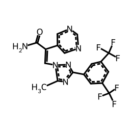 Cc1nc(-c2cc(C(F)(F)F)cc(C(F)(F)F)c2)nn1/C=C(/C(N)=O)c1cncnc1